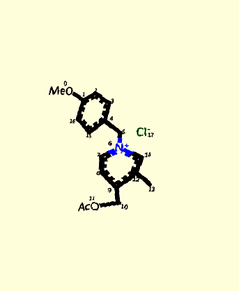 COc1ccc(C[n+]2ccc(COC(C)=O)c(C)c2)cc1.[Cl-]